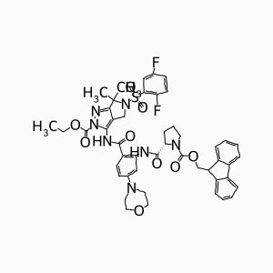 CCOC(=O)n1nc2c(c1NC(=O)c1ccc(N3CCOCC3)cc1NC(=O)[C@@H]1CCCN1C(=O)OCC1c3ccccc3-c3ccccc31)CN(S(=O)(=O)c1cc(F)ccc1F)C2(C)C